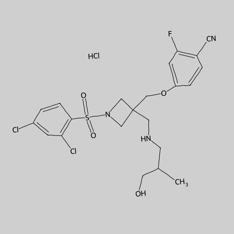 CC(CO)CNCC1(COc2ccc(C#N)c(F)c2)CN(S(=O)(=O)c2ccc(Cl)cc2Cl)C1.Cl